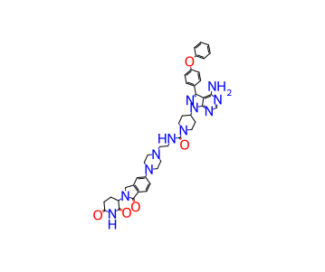 Nc1ncnc2c1c(-c1ccc(Oc3ccccc3)cc1)nn2C1CCN(C(=O)NCCN2CCN(c3ccc4c(c3)CN(C3CCC(=O)NC3=O)C4=O)CC2)CC1